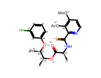 COc1ccnc(C(=S)N[C@@H](C)C(=O)O[C@@H](C)[C@H](Oc2cccc(F)c2)C(C)C)c1OC(C)=O